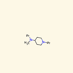 CC(C)N1CCC(N(C)C(C)C)CC1